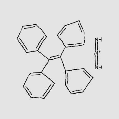 N=[N+]=N.c1ccc(C(=C(c2ccccc2)c2ccccc2)c2ccccc2)cc1